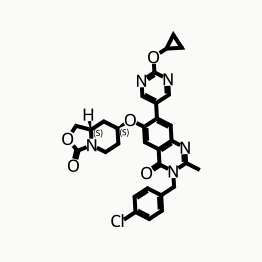 Cc1nc2cc(-c3cnc(OC4CC4)nc3)c(O[C@H]3CCN4C(=O)OC[C@@H]4C3)cc2c(=O)n1Cc1ccc(Cl)cc1